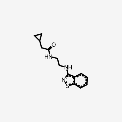 O=C(CC1CC1)NCCNc1nsc2ccccc12